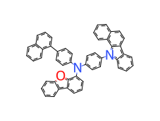 c1ccc2c(-c3ccc(N(c4ccc(-n5c6ccccc6c6ccc7ccccc7c65)cc4)c4cccc5c4oc4ccccc45)cc3)cccc2c1